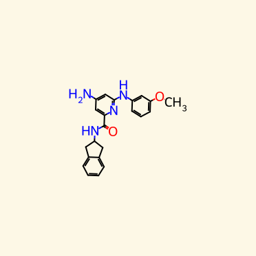 COc1cccc(Nc2cc(N)cc(C(=O)NC3Cc4ccccc4C3)n2)c1